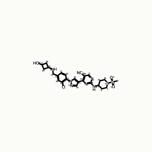 CS(=O)(=O)N1CCC(Nc2ncc(C#N)c(-c3cnn(-c4ccc(CNC5CC(O)C5)cc4Cl)c3)n2)CC1